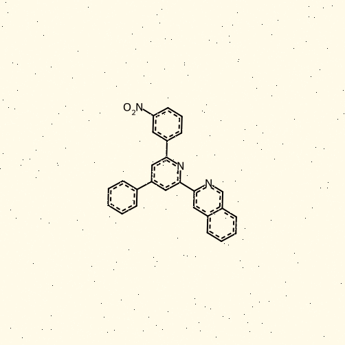 O=[N+]([O-])c1cccc(-c2cc(-c3ccccc3)cc(-c3cc4ccccc4cn3)n2)c1